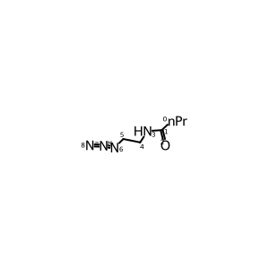 CCCC(=O)NCCN=[N+]=[N-]